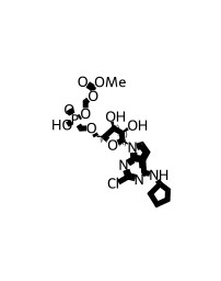 COC(=O)OCOP(=O)(O)COC[C@H]1O[C@@H](n2ccc3c(NC4CCCC4)nc(Cl)nc32)[C@H](O)[C@@H]1O